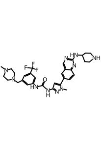 CN1CCN(Cc2cc(NC(=O)Nc3cc(-c4ccc5nc(NC6CCNCC6)ncc5c4)n(C)n3)cc(C(F)(F)F)c2)CC1